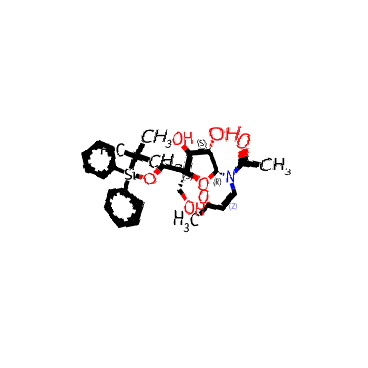 CC(=O)/C=C\N(C(C)=O)[C@@H]1O[C@@](CO)(CO[Si](c2ccccc2)(c2ccccc2)C(C)(C)C)C(O)[C@@H]1O